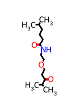 CC(C)CCCC(=O)NCCOCCC(=O)C(C)C